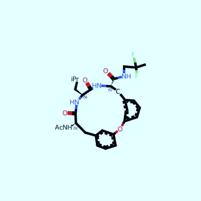 CC(=O)N[C@H]1Cc2cccc(c2)Oc2cccc(c2)C[C@@H](C(=O)NCC(C)(F)F)NC(=O)[C@H](CC(C)C)NC1=O